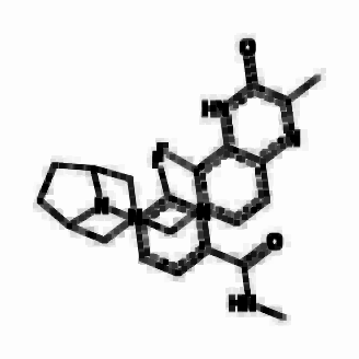 CNC(=O)c1ccc(N2C3CCC2CN(Cc2ccc4nc(C)c(=O)[nH]c4c2F)C3)c(F)n1